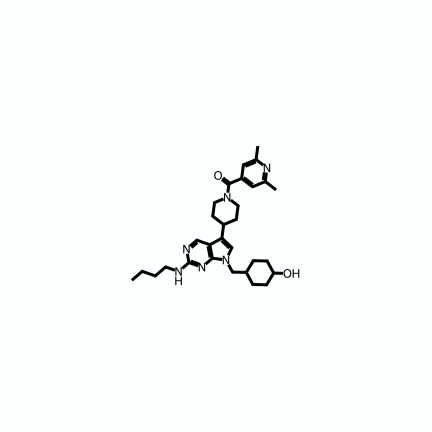 CCCCNc1ncc2c(C3CCN(C(=O)c4cc(C)nc(C)c4)CC3)cn(CC3CCC(O)CC3)c2n1